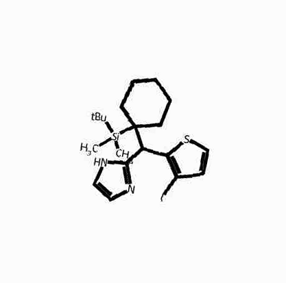 CC(C)(C)[Si](C)(C)C1(C(c2ncc[nH]2)c2sccc2I)CCCCC1